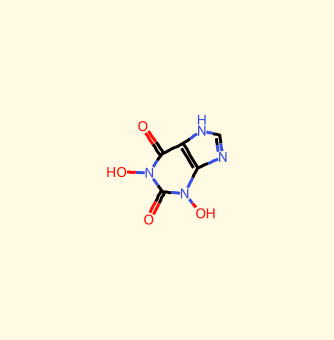 O=c1c2[nH]cnc2n(O)c(=O)n1O